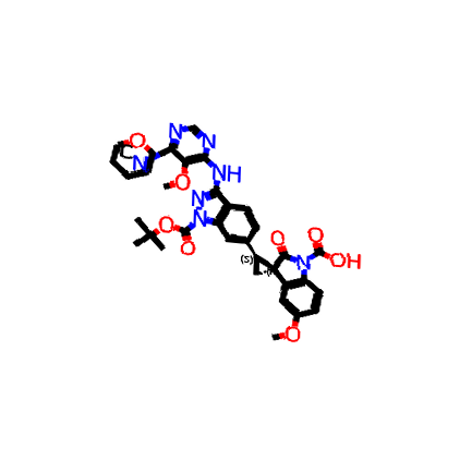 COc1ccc2c(c1)[C@]1(C[C@H]1c1ccc3c(Nc4ncnc(N5CC6CCC5CO6)c4OC)nn(C(=O)OC(C)(C)C)c3c1)C(=O)N2C(=O)O